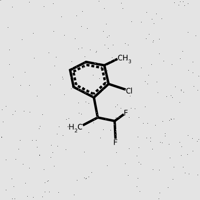 [CH2]C(c1cccc(C)c1Cl)C(F)F